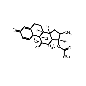 CCCCC(=O)O[C@]1(C(C)=O)C(C)C[C@H]2[C@@H]3CCC4=CC(=O)C=C[C@]4(C)[C@@]3(Cl)C(Cl)C[C@@]21C